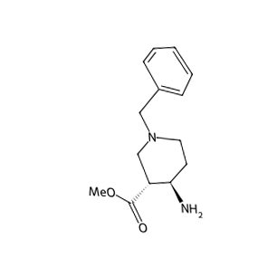 COC(=O)[C@@H]1CN(Cc2ccccc2)CC[C@H]1N